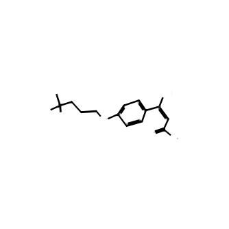 C/C(=C/C(=O)O)c1ccc(OCCCC(F)(F)F)cc1